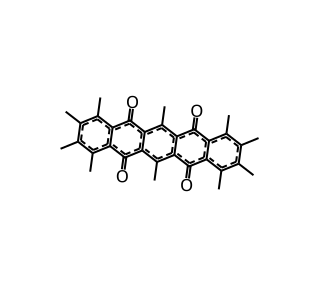 Cc1c(C)c(C)c2c(=O)c3c(C)c4c(=O)c5c(C)c(C)c(C)c(C)c5c(=O)c4c(C)c3c(=O)c2c1C